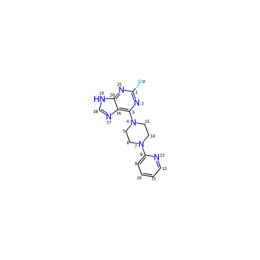 Fc1nc(N2CCN(c3ccccn3)CC2)c2nc[nH]c2n1